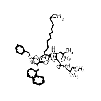 CCCCCCCCCC[C@H](NC(=O)[C@H](Cc1cccc2ccccc12)NC(=O)OCc1ccccc1)C(=O)N[C@@H](CC(C)C)[C@@H](O)CC(=O)NCC(C)CC